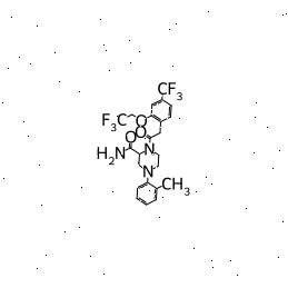 Cc1ccccc1N1CCN(C(=O)Cc2ccc(C(F)(F)F)cc2OCC(F)(F)F)C(C(N)=O)C1